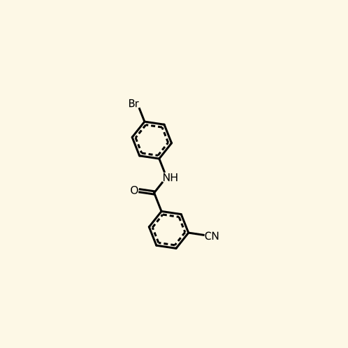 N#Cc1cccc(C(=O)Nc2ccc(Br)cc2)c1